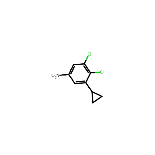 O=[N+]([O-])c1cc(Cl)c(Cl)c(C2CC2)c1